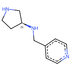 c1cc(CN[C@H]2CCNC2)ccn1